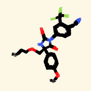 C=CCOCC1(c2ccc(OC)cc2)NC(=O)N(c2ccc(C#N)c(C(F)(F)F)c2)C1=O